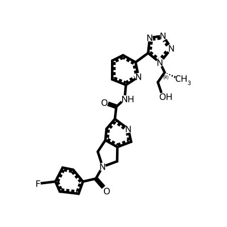 C[C@H](CO)n1nnnc1-c1cccc(NC(=O)c2cc3c(cn2)CN(C(=O)c2ccc(F)cc2)C3)n1